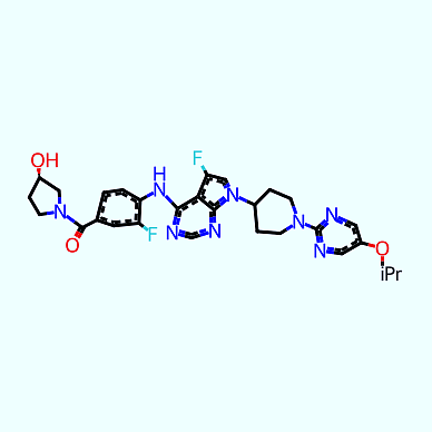 CC(C)Oc1cnc(N2CCC(n3cc(F)c4c(Nc5ccc(C(=O)N6CC[C@@H](O)C6)cc5F)ncnc43)CC2)nc1